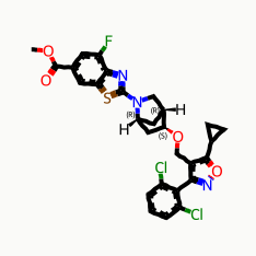 COC(=O)c1cc(F)c2nc(N3C[C@H]4C[C@@H]3C[C@@H]4OCc3c(-c4c(Cl)cccc4Cl)noc3C3CC3)sc2c1